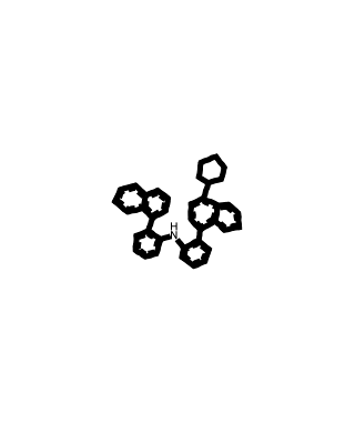 c1ccc(-c2cccc3ccccc23)c(Nc2ccccc2-c2ccc(C3CCCCC3)c3ccccc23)c1